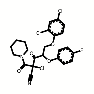 N#CC(Cl)(C(=O)C(COc1ccc(Cl)cc1Cl)Oc1ccc(F)cc1)C(=O)N1CCCCC1